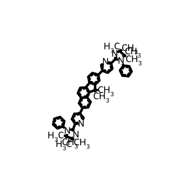 CC1(C)c2cc(-c3ccc(C4=NC(C)(C)C(C)(C)N4c4ccccc4)nc3)ccc2-c2ccc3cc(-c4ccc(C5=NC(C)(C)C(C)(C)N5c5ccccc5)nc4)ccc3c21